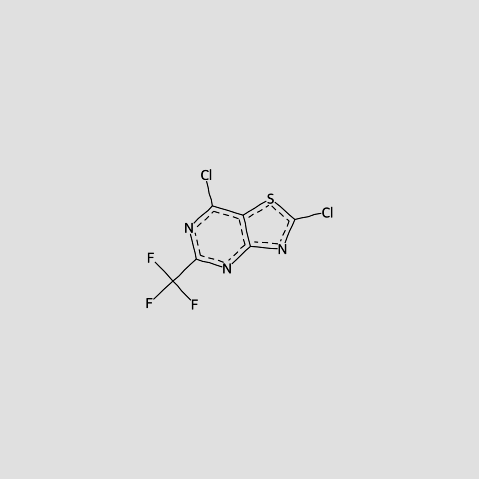 FC(F)(F)c1nc(Cl)c2sc(Cl)nc2n1